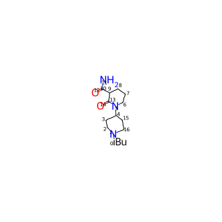 CCC(C)N1CCC(N2CCCC(C(N)=O)C2=O)CC1